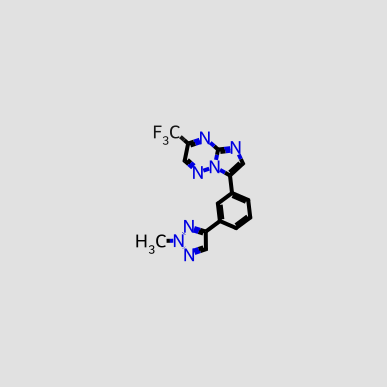 Cn1ncc(-c2cccc(-c3cnc4nc(C(F)(F)F)cnn34)c2)n1